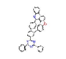 c1ccc(-c2nc(-c3ccccc3)nc(-c3cccc(-c4ccc5oc6ccc7c8ccccc8nc(-c8ccccc8)c7c6c5c4)c3)n2)cc1